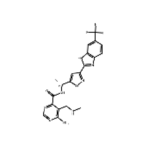 CNCc1c(N)ncnc1C(=O)N[C@H](C)c1cc(-c2nc3ccc(C(F)(F)F)cc3[nH]2)no1